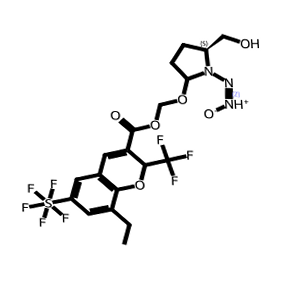 CCc1cc(S(F)(F)(F)(F)F)cc2c1OC(C(F)(F)F)C(C(=O)OCOC1CC[C@@H](CO)N1/N=[NH+]\[O-])=C2